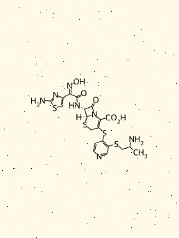 CC(N)CSc1cnccc1SC1=C(C(=O)O)N2C(=O)[C@@H](NC(=O)/C(=N\O)c3csc(N)n3)[C@@H]2SC1